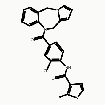 Cc1sccc1C(=O)Nc1ccc(C(=O)N2Cc3cccn3Cc3ccccc32)cc1Cl